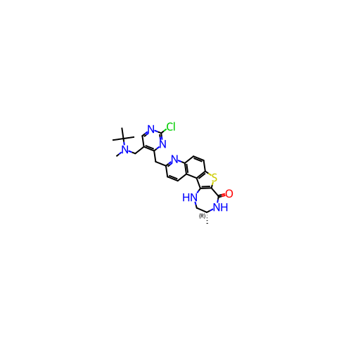 C[C@@H]1CNc2c(sc3ccc4nc(Cc5nc(Cl)ncc5CN(C)C(C)(C)C)ccc4c23)C(=O)N1